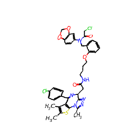 Cc1sc2c(c1C)C(c1ccc(Cl)cc1)=NC(CC(=O)NCCCCOc1ccccc1CN(C(=O)CCl)c1ccc3c(c1)OCO3)c1nnc(C)n1-2